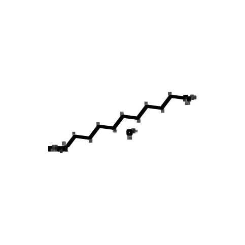 CCCCCCCCCCCCCCC[CH2][Fe+2].[O-2]